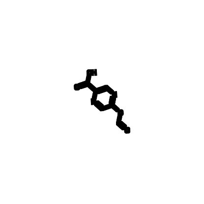 O=COc1cnc(C(=O)O)cn1